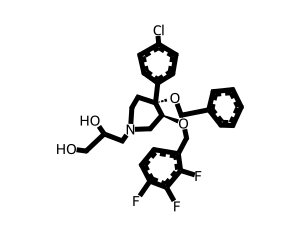 OCC(O)CN1CC[C@@](OCc2ccccc2)(c2ccc(Cl)cc2)[C@@H](OCc2ccc(F)c(F)c2F)C1